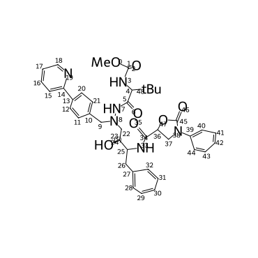 COC(=O)NC(C(=O)NN(Cc1ccc(-c2ccccn2)cc1)C[C@H](O)C(Cc1ccccc1)NC(=O)C1CN(c2ccccc2)C(=O)O1)C(C)(C)C